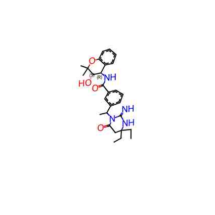 CCC1(CC)CC(=O)N(C(C)c2cccc(C(=O)N[C@@H]3c4ccccc4OC(C)(C)[C@H]3O)c2)C(=N)N1